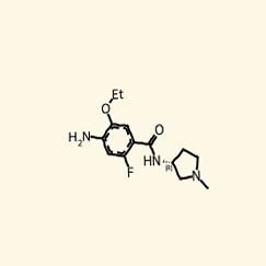 CCOc1cc(C(=O)N[C@@H]2CCN(C)C2)c(F)cc1N